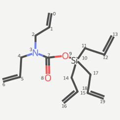 C=CCN(CC=C)C(=O)O[Si](CC=C)(CC=C)CC=C